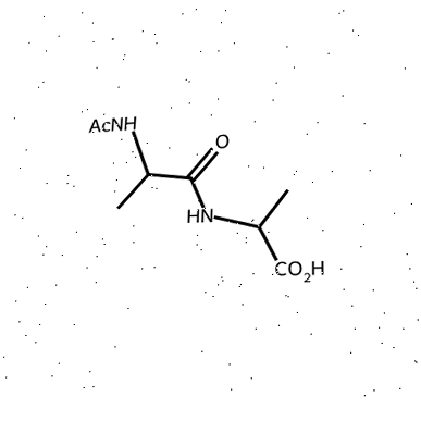 CC(=O)NC(C)C(=O)NC(C)C(=O)O